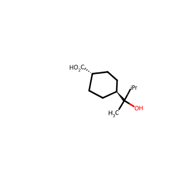 CC(C)C(C)(O)[C@H]1CC[C@H](C(=O)O)CC1